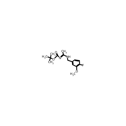 COc1cc(CNC(C)=NC(=O)OC(C)(C)C)ccc1F